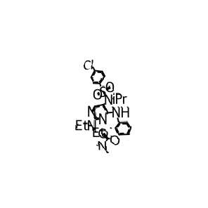 CCN(CC)c1ncc(N(C(C)C)S(=O)(=O)c2ccc(Cl)cc2)c(Nc2[c]c(OC(=O)N(C)C)ccc2)n1